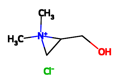 C[N+]1(C)CC1CO.[Cl-]